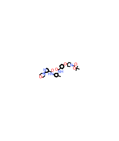 Cc1ccc(NC(=O)c2ccnc(N3CCOCC3)c2)cc1NC(=O)c1ccc(OC2CCN(C(=O)OC(C)(C)C)CC2)cc1